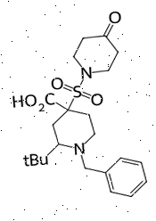 CC(C)(C)C1CC(C(=O)O)(S(=O)(=O)N2CCC(=O)CC2)CCN1Cc1ccccc1